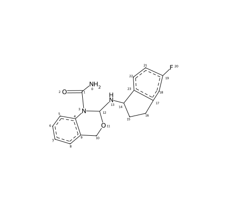 NC(=O)N1c2cc[c]cc2COC1NC1CCc2cc(F)ccc21